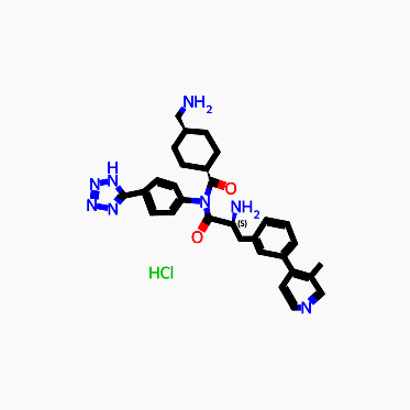 Cc1cnccc1-c1cccc(C[C@H](N)C(=O)N(c2ccc(-c3nnn[nH]3)cc2)C(=O)[C@H]2CC[C@H](CN)CC2)c1.Cl